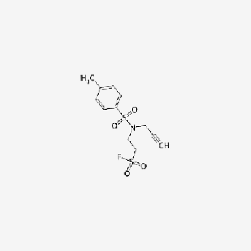 C#CCN(CCS(=O)(=O)F)S(=O)(=O)c1ccc(C)cc1